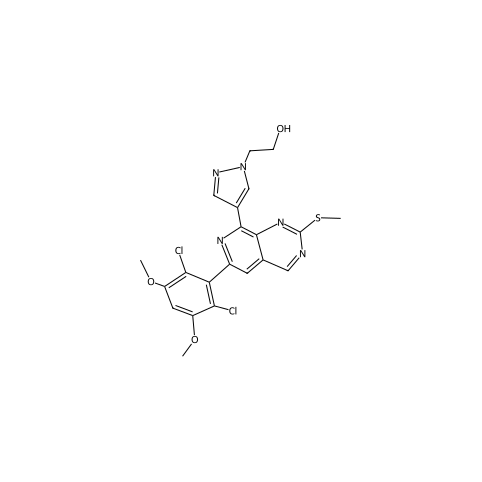 COc1cc(OC)c(Cl)c(-c2cc3cnc(SC)nc3c(-c3cnn(CCO)c3)n2)c1Cl